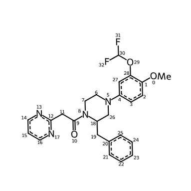 COc1ccc(N2CCN(C(=O)Cc3ncccn3)C(Cc3ccccc3)C2)cc1OC(F)F